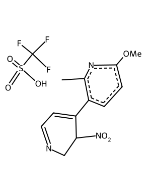 COc1ccc(C2=CC=NCC2[N+](=O)[O-])c(C)n1.O=S(=O)(O)C(F)(F)F